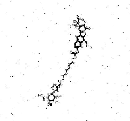 CCc1c2c(nc3ccc(OC(=O)OCCOCCOCCOCc4cn(C5O[C@@H](CO)[C@H](O)[C@@H](O)[C@@H]5O)nn4)cc13)-c1cc3c(c(=O)n1C2)COC(=O)[C@]3(O)CC